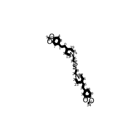 C(=C\c1ccc2c(c1)OCO2)/c1cc[n+](CCSSCC[n+]2ccc(/C=C/c3ccc4c(c3)OCO4)cc2)cc1